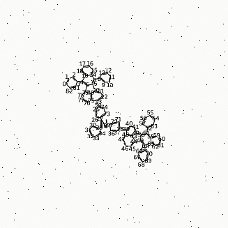 c1ccc(-c2c3c(c(-c4ccccc4)c4ccccc24)-c2ccc(-c4ccc(N(c5ccccc5)c5ccc(-c6ccc7c8c(cccc68)-c6c-7c(-c7ccccc7)c7ccccc7c6-c6ccccc6)cc5)cc4)c4cccc-3c24)cc1